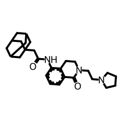 O=C(CC12CC3CC(CC(C3)C1)C2)Nc1cccc2c1CCN(CCN1CCCC1)C2=O